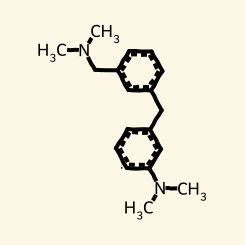 CN(C)Cc1cccc(Cc2cc[c]c(N(C)C)c2)c1